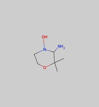 CC1(C)OCCN(O)C1N